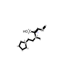 C=N/C=C(/C(=O)O)N(C)CCN1CCCC1